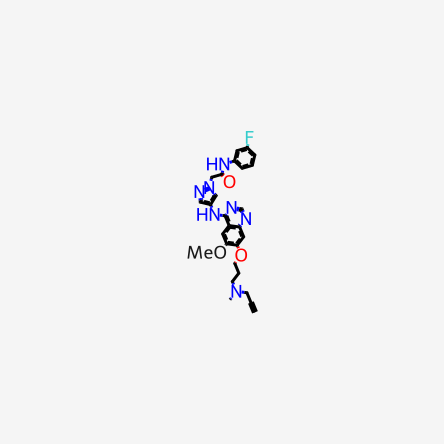 C#CCN(C)CCCOc1cc2ncnc(Nc3cnn(CC(=O)Nc4cccc(F)c4)c3)c2cc1OC